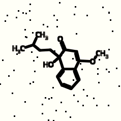 COC1=CC(=O)C(O)(CCC(C)C)c2ccccc21